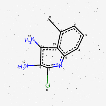 Cc1cccc2nc(Cl)c(N)c(N)c12